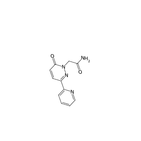 NC(=O)Cn1nc(-c2ccccn2)ccc1=O